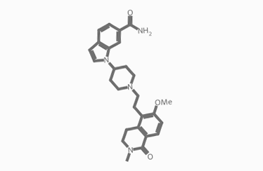 COc1ccc2c(c1CCN1CCC(n3ccc4ccc(C(N)=O)cc43)CC1)CCN(C)C2=O